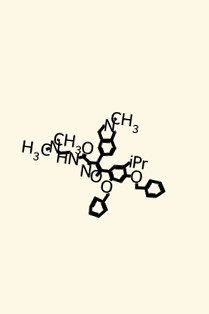 CC(C)c1cc(-c2onc(C(=O)NCCN(C)C)c2-c2ccc3c(c2)CCN(C)C3)c(OCc2ccccc2)cc1OCc1ccccc1